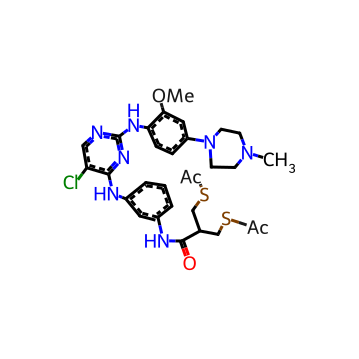 COc1cc(N2CCN(C)CC2)ccc1Nc1ncc(Cl)c(Nc2cccc(NC(=O)C(CSC(C)=O)CSC(C)=O)c2)n1